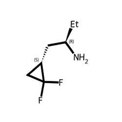 CC[C@@H](N)C[C@H]1CC1(F)F